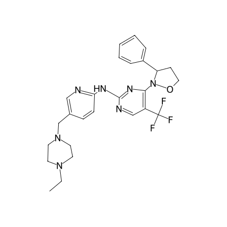 CCN1CCN(Cc2ccc(Nc3ncc(C(F)(F)F)c(N4OCCC4c4ccccc4)n3)nc2)CC1